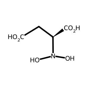 O=C(O)C[C@@H](C(=O)O)N(O)O